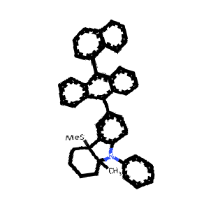 CSC12CCCCC1(C)N(c1ccccc1)c1ccc(-c3c4ccccc4c(-c4cccc5ccccc45)c4ccccc34)cc12